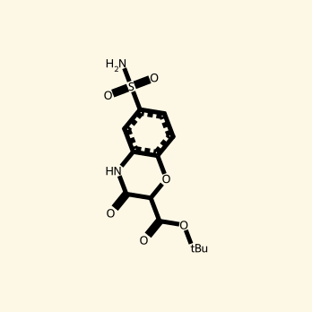 CC(C)(C)OC(=O)C1Oc2ccc(S(N)(=O)=O)cc2NC1=O